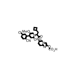 COc1cn(C(CC2CCC2)C(=O)Nc2ccc3nc(OC(=O)O)cn3c2)c(=O)cc1-c1cc(Cl)ccc1C#N